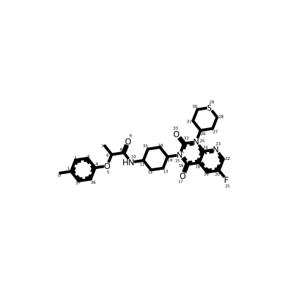 Cc1ccc(OC(C)C(=O)NC2CCC(n3c(=O)c4cc(F)cnc4n(C4CCSCC4)c3=O)CC2)cc1